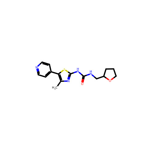 Cc1nc(NC(=O)NCC2CCCO2)sc1-c1ccncc1